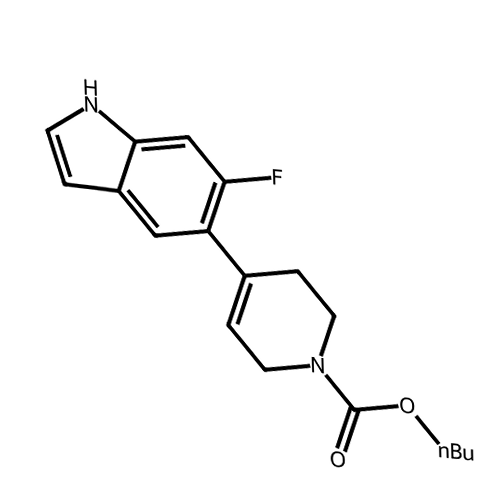 CCCCOC(=O)N1CC=C(c2cc3cc[nH]c3cc2F)CC1